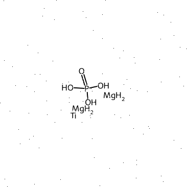 O=P(O)(O)O.[MgH2].[MgH2].[Ti]